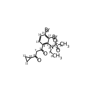 CCN(c1c(C(=O)CC(=O)C2CC2)ccc(Br)c1Br)S(C)(=O)=O